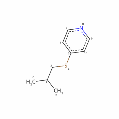 C[C](C)CSc1ccncc1